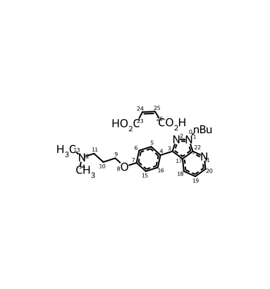 CCCCn1nc(-c2ccc(OCCCN(C)C)cc2)c2cccnc21.O=C(O)/C=C\C(=O)O